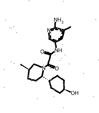 Cc1cc(NC(=O)C(=O)N2C[C@H](C)CCC2[C@H]2CC[C@H](O)CC2)cnc1N